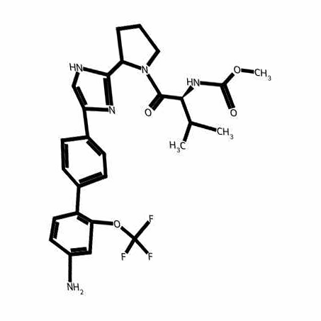 COC(=O)N[C@H](C(=O)N1CCCC1c1nc(-c2ccc(-c3ccc(N)cc3OC(F)(F)F)cc2)c[nH]1)C(C)C